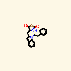 O=C1NC(=Cc2cc3ccccc3n2CCc2ccccc2)C(=O)S1